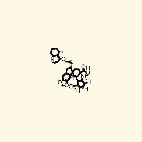 [2H]c1c([2H])c(Cl)c([2H])c(NC2(C(=O)O)CCC3(CC2)c2cc4c(cc2C[C@@H]3C[C@@H](C)COc2ccnc3c2[C@H](C)CCC3)OCO4)c1[2H]